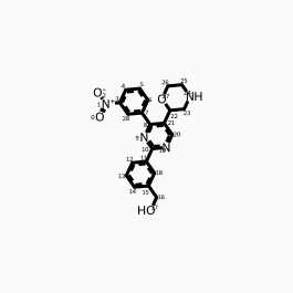 O=[N+]([O-])c1cccc(-c2nc(-c3cccc(CO)c3)ncc2C2CNCCO2)c1